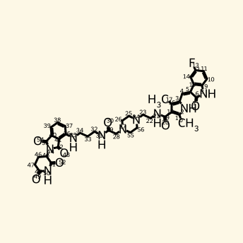 Cc1[nH]c(/C=C2\C(=O)Nc3ccc(F)cc32)c(C)c1C(=O)NCCN1CCN(CC(=O)NCCCNc2cccc3c2C(=O)N(C2CCC(=O)NC2=O)C3=O)CC1